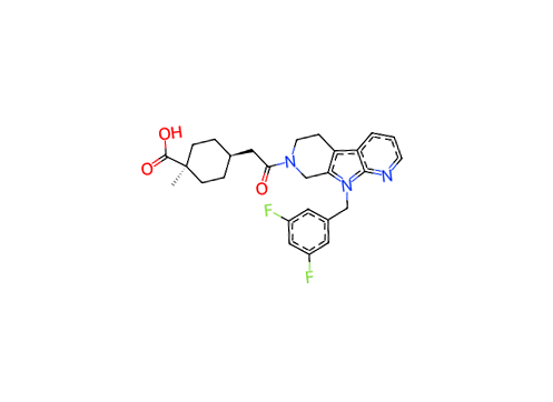 C[C@]1(C(=O)O)CC[C@@H](CC(=O)N2CCc3c(n(Cc4cc(F)cc(F)c4)c4ncccc34)C2)CC1